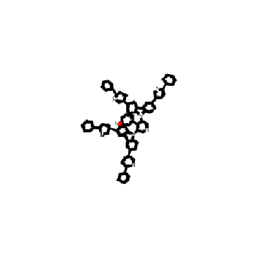 N#Cc1cccc(-c2c(-n3c4ccc(-c5ccc(-c6ccccc6)nc5)cc4c4cc(-c5ccc(-c6ccccc6)nc5)ccc43)cncc2-n2c3ccc(-c4ccc(-c5ccccc5)nc4)cc3c3cc(-c4ccc(-c5ccccc5)nc4)ccc32)c1